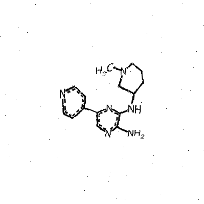 CN1CCCC(Nc2nc(-c3ccncc3)cnc2N)C1